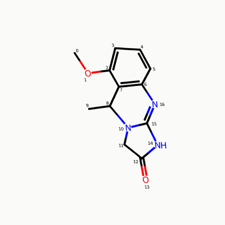 COc1cccc2c1C(C)N1CC(=O)NC1=N2